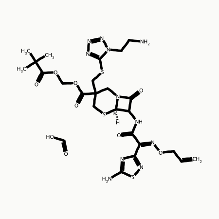 C=CCON=C(C(=O)NC1C(=O)N2CC(CSc3nnnn3CCN)(C(=O)OCOC(=O)C(C)(C)C)CS[C@H]12)c1nsc(N)n1.O=CO